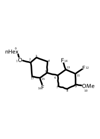 CCCCCCOC1CCC(C2CCC(OC)C(F)C2F)C(F)C1